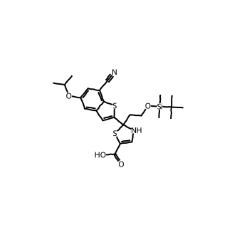 CC(C)Oc1cc(C#N)c2sc(C3(CCO[Si](C)(C)C(C)(C)C)NC=C(C(=O)O)S3)cc2c1